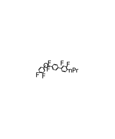 CCCc1ccc(-c2ccc(C(F)(F)Oc3ccc(F)c(F)c3)cc2)c(F)c1F